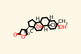 C[C@@]1(O)CC[C@@]2(C)[C@H](CC[C@@H]3[C@@H]2CC[C@]2(C)[C@@H](C4=COC(=O)C4)CC[C@]32O)C1